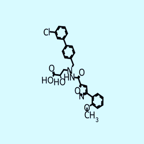 COc1ccccc1-c1cc(C(=O)NN(Cc2ccc(-c3cccc(Cl)c3)cc2)C[C@@H](O)C(=O)O)on1